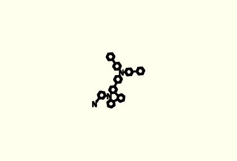 N#Cc1cccc(N2c3ccccc3-c3ccccc3-c3cc(-c4ccc(N(c5ccc(-c6ccccc6)cc5)c5ccc(-c6ccccc6)cc5)cc4)ccc32)c1